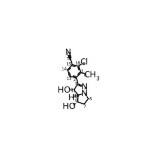 Cc1c(C2=NN3CC[C@H](O)[C@H]3[C@@H]2O)ccc(C#N)c1Cl